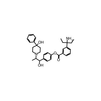 CCC(N)(CC)c1cccc(C(=O)Oc2ccc(C(O)C(C)N3CCC(O)(c4ccccc4)CC3)cc2)c1